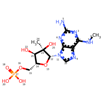 CNc1nc(N)nc2c1ncn2[C@@H]1O[C@H](COP(=O)(O)O)[C@@H](O)[C@@]1(C)O